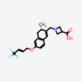 C[C@H]1Cc2cc(OC/C=C/C(F)(F)F)ccc2C=C1CN1CC(C(=O)O)C1